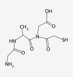 CC(NC(=O)CN)C(=O)N(CC(=O)O)C(=O)CS